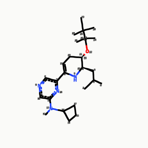 CC(C)C[C@H]1NC(c2cncc(N(C)C3CCC3)n2)=CC[C@@H]1O[Si](C)(C)C(C)(C)C